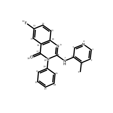 Cc1ccncc1Nc1nc2ccc(F)cc2c(=O)n1-c1ccccc1